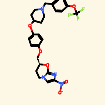 O=[N+]([O-])c1cn2c(n1)O[C@@H](COc1ccc(OC3CCN(Cc4ccc(OC(F)(F)F)cc4)CC3)cc1)CC2